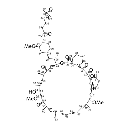 CO[C@H]1C[C@@H]2CC[C@@H](C)[C@@](O)(O2)C(=O)C(=O)N2CCCC[C@H]2C(=O)O[C@H]([C@@H](C)C[C@@H]2CC[C@@H](CC(=O)CCC[SH](C)(C)=O)[C@H](OC)C2)CC(=O)[C@H](C)/C=C(\C)[C@@H](O)[C@@H](OC)C(=O)[C@H](C)C[C@H](C)/C=C/C=C/C=C/1C